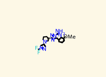 COc1cccc2c1nc(N)n1nc([C@@H]3CCCN(c4cnn(C(F)F)c4)C3)nc21